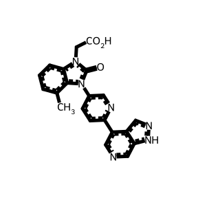 Cc1cccc2c1n(-c1ccc(-c3cncc4[nH]ncc34)nc1)c(=O)n2CC(=O)O